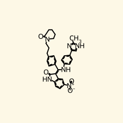 Cc1nc(-c2ccc(NC(=C3C(=O)Nc4ccc([N+](=O)[O-])cc43)c3ccc(CCCN4CCCCC4=O)cc3)cc2)c[nH]1